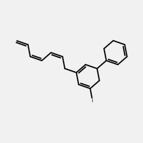 C=C/C=C\C=C/CC1=CC(C2=CC=CCC2)CC(I)=C1